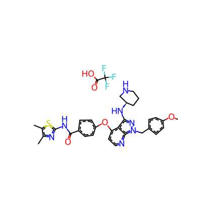 COc1ccc(Cn2nc(N[C@@H]3CCCNC3)c3c(Oc4ccc(C(=O)Nc5nc(C)c(C)s5)cc4)ccnc32)cc1.O=C(O)C(F)(F)F